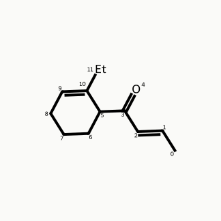 CC=CC(=O)C1CCCC=C1CC